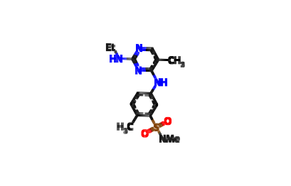 CCNc1ncc(C)c(Nc2ccc(C)c(S(=O)(=O)NC)c2)n1